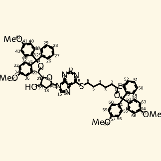 CCC(CCCCCSc1ncnc2c1ncn2[C@H]1C[C@H](O)[C@@H](COC(c2ccccc2)(c2ccc(OC)cc2)c2ccc(OC)cc2)O1)OC(c1ccccc1)(c1ccc(OC)cc1)c1ccc(OC)cc1